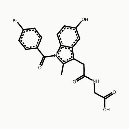 Cc1c(CC(=O)NCC(=O)O)c2cc(O)ccc2n1C(=O)c1ccc(Br)cc1